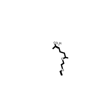 C=COCCOC(C)CCC=C(C)C(=O)O